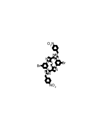 O=[N+]([O-])c1ccc(Cn2nnc(-c3cnn(-c4cccc(Br)c4)c3SSc3c(-c4nnn(Cc5ccc([N+](=O)[O-])cc5)n4)cnn3-c3cccc(Br)c3)n2)cc1